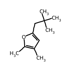 Cc1cc(CC(C)(C)C)oc1C